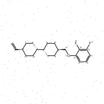 C=C[C@H]1CC[C@H]([C@H]2CC[C@H](COc3cccc(F)c3F)CC2)CC1